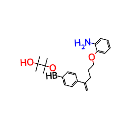 C=C(CCCOc1ccccc1N)c1ccc(BOC(C)(C)C(C)(C)O)cc1